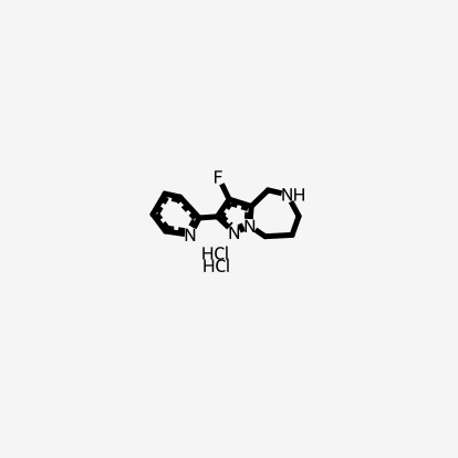 Cl.Cl.Fc1c(-c2ccccn2)nn2c1CNCCC2